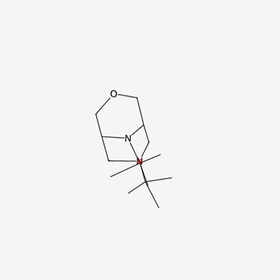 CC(C)(C)N1CC2COCC(C1)N2C(C)(C)C